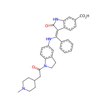 CN1CCC(CC(=O)N2CCc3cc(N/C(=C4\C(=O)Nc5cc(C(=O)O)ccc54)c4ccccc4)ccc32)CC1